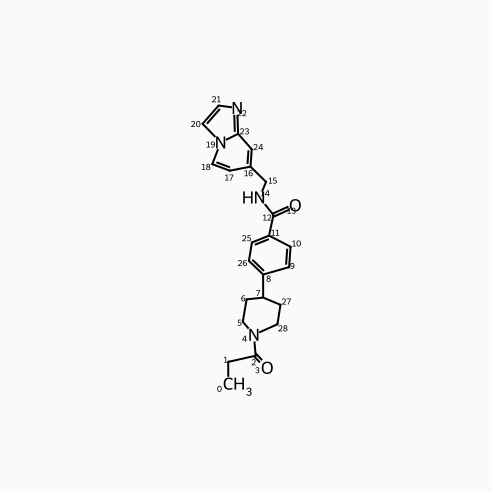 CCC(=O)N1CCC(c2ccc(C(=O)NCc3ccn4ccnc4c3)cc2)CC1